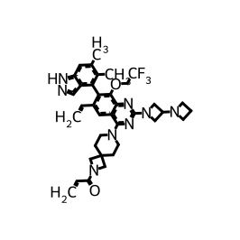 C=CC(=O)N1CC2(CCN(c3nc(N4CC(N5CCC5)C4)nc4c(OCC(F)(F)F)c(-c5c(C)c(C)cc6[nH]ncc56)c(C=C)cc34)CC2)C1